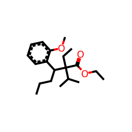 CCCC(c1ccccc1OC)C(CC)(C(=O)OCC)C(C)C